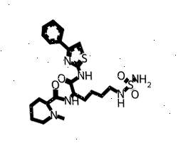 CN1CCCCC1C(=O)NC(CCCCNS(N)(=O)=O)C(=O)Nc1nc(-c2ccccc2)cs1